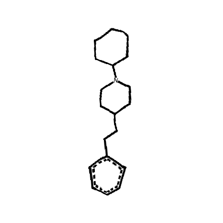 c1ccc(CCC2CCN(C3CCCCC3)CC2)cc1